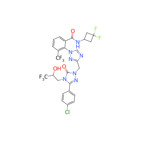 O=C(NC1CC(F)(F)C1)c1cccc(C(F)(F)F)c1-n1cnc(Cn2nc(-c3ccc(Cl)cc3)n(CC(O)C(F)(F)F)c2=O)n1